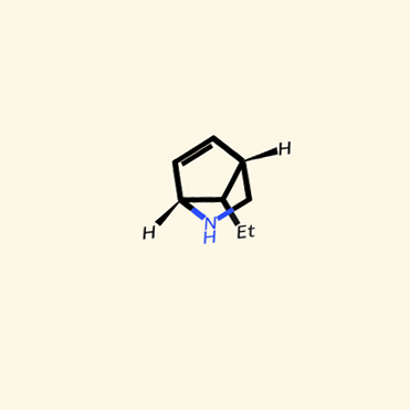 CCC1[C@@H]2C=C[C@H]1NC2